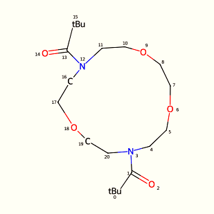 CC(C)(C)C(=O)N1CCOCCOCCN(C(=O)C(C)(C)C)CCOCC1